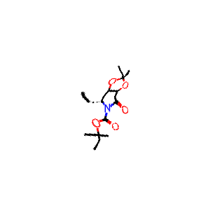 CC[C@@H]1C2OC(C)(C)OC2C(=O)N1C(=O)OC(C)(C)C